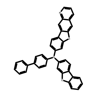 c1ccc(-c2ccc(N(c3ccc4c(c3)oc3ccccc34)c3ccc4c(c3)sc3cc5cccnc5cc34)cc2)cc1